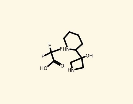 O=C(O)C(F)(F)F.OC1(C2CCCCN2)CNC1